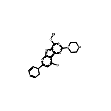 CCOc1nc(N2CCNCC2)nc2c1sc1nc(C3C=CI=CC3)cc(CC)c12